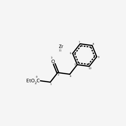 CCOC(=O)CC(=O)Cc1ccccc1.[Zr]